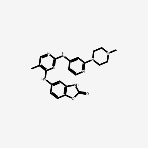 Cc1cnc(Nc2ccnc(N3CCN(C)CC3)c2)nc1Nc1ccc2oc(=O)[nH]c2c1